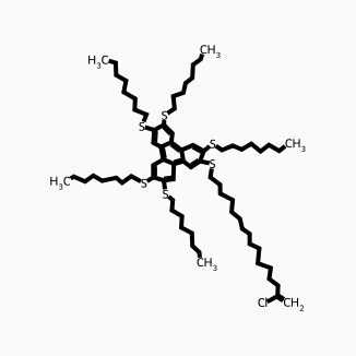 C=C(Cl)CCCCCCCCCCCCCCSc1cc2c3cc(SCCCCCCCC)c(SCCCCCCCC)cc3c3cc(SCCCCCCCC)c(SCCCCCCCC)cc3c2cc1SCCCCCCCC